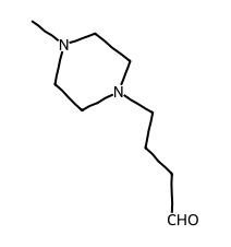 CN1CCN(CCCC=O)CC1